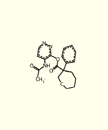 [CH2]C(=O)Nc1ccnnc1OC(=O)C1(c2ccccc2)CCCCCC1